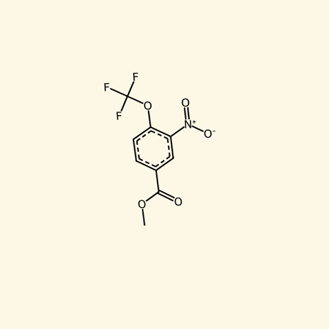 COC(=O)c1ccc(OC(F)(F)F)c([N+](=O)[O-])c1